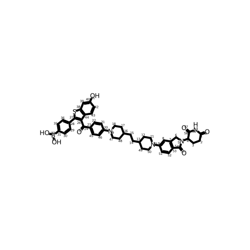 O=C1CCC(N2Cc3cc(N4CCC(CCC5CCN(c6ccc(C(=O)c7c(-c8ccc(B(O)O)cc8)sc8cc(O)ccc78)cc6)CC5)CC4)ccc3C2=O)C(=O)N1